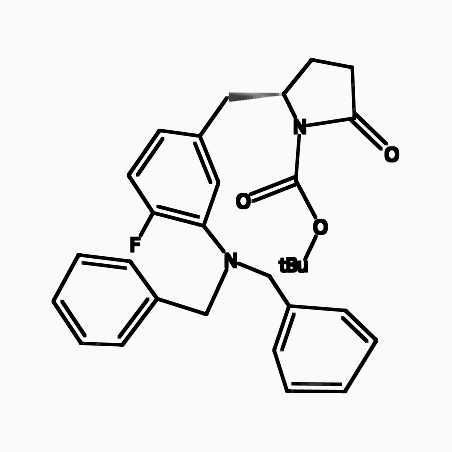 CC(C)(C)OC(=O)N1C(=O)CC[C@H]1Cc1ccc(F)c(N(Cc2ccccc2)Cc2ccccc2)c1